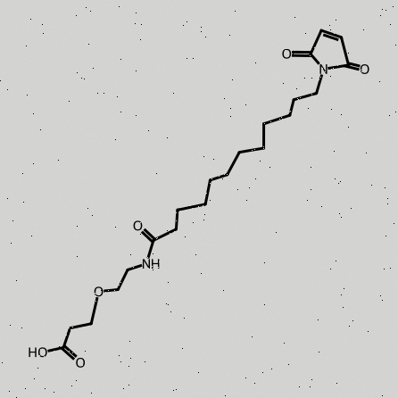 O=C(O)CCOCCNC(=O)CCCCCCCCCCCN1C(=O)C=CC1=O